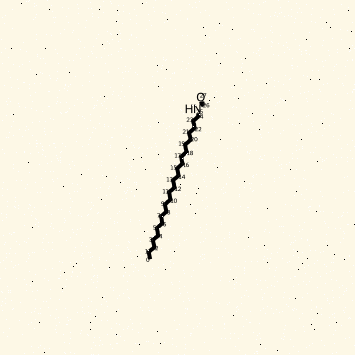 CCCCCCCCCCCCCCCCCCCCCCCCCNC=O